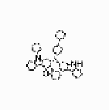 c1ccc(-c2ccc(N(c3ccc4c(c3)[nH]c3ccccc34)c3cc4c(c5ccccc5n4-c4ccccc4)c4oc5ccccc5c34)cc2)cc1